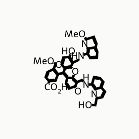 COC(=O)c1ccc(C(=O)O)cc1-c1c2ccc(=O)c(CNc3cccc4ccc(CO)nc34)c-2oc2c(CNc3cccc4ccc(OC)nc34)c(O)ccc12